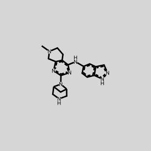 CN1CCc2c(nc(N3C4CNCC3C4)nc2Nc2ccc3[nH]ncc3c2)C1